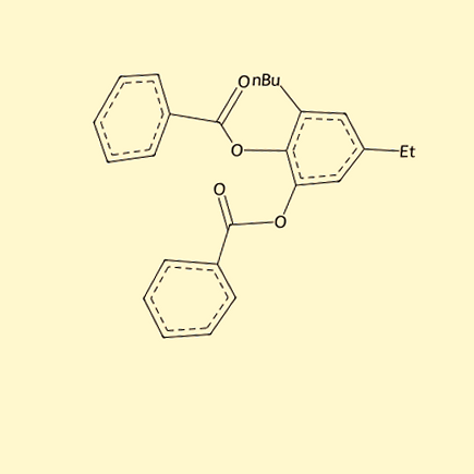 CCCCc1cc(CC)cc(OC(=O)c2ccccc2)c1OC(=O)c1ccccc1